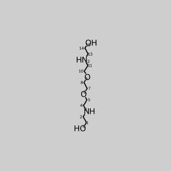 OCCNCCOCCOCCNCCO